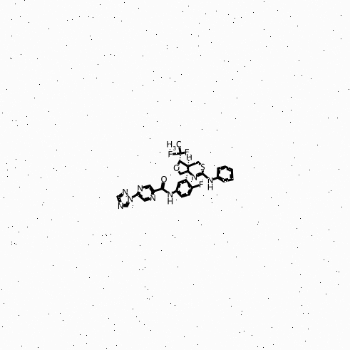 CC(F)(F)[C@H]1OC[C@]2(c3cc(NC(=O)c4cnc(-n5cncn5)cn4)ccc3F)N=C(Nc3ccccc3)SC[C@H]12